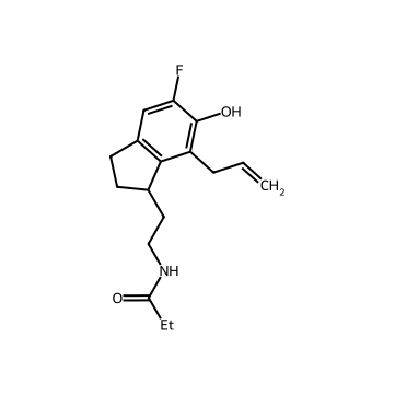 C=CCc1c(O)c(F)cc2c1C(CCNC(=O)CC)CC2